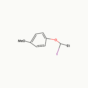 CCC(I)Oc1ccc(OC)cc1